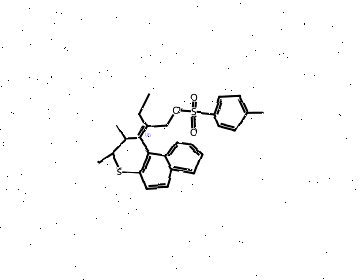 CC/C(COS(=O)(=O)c1ccc(C)cc1)=C1/c2c(ccc3ccccc23)SC(C)C1C